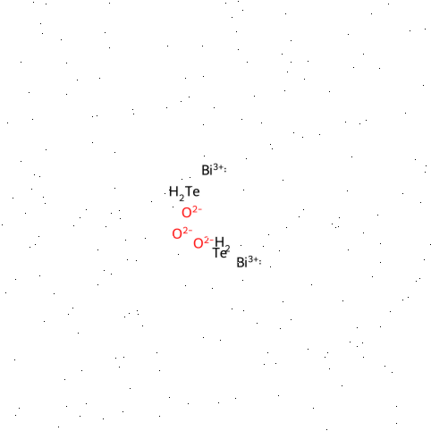 [Bi+3].[Bi+3].[O-2].[O-2].[O-2].[TeH2].[TeH2]